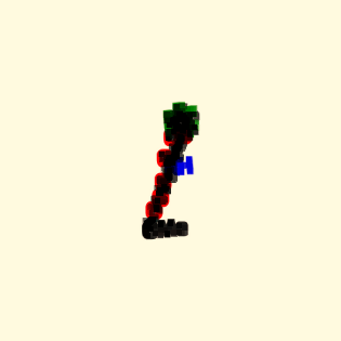 COCCOCCOCCOCCNC(=O)CCCC(=O)Oc1c(F)c(F)c(F)c(F)c1F